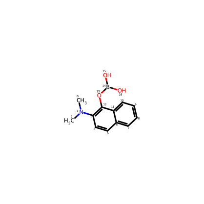 CN(C)c1ccc2ccccc2c1OB(O)O